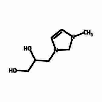 CN1C=CN(CC(O)CO)C1